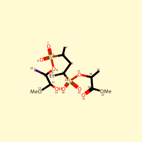 CCC(CC(C)S(=O)(=O)OC(I)C(O)OC)S(=O)(=O)OC(C)C(=O)OC